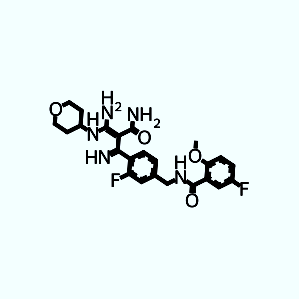 COc1ccc(F)cc1C(=O)NCc1ccc(C(=N)/C(C(N)=O)=C(/N)NC2CCOCC2)c(F)c1